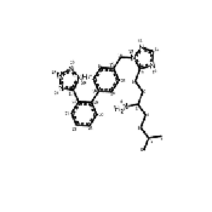 CC(C)CCC(N)CCc1ncnn1Cc1ccc(-c2ccccc2-c2nnn[nH]2)cc1